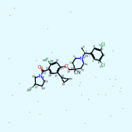 C[C@@H](c1cc(Cl)cc(Cl)c1)N1CCC(C#N)(COc2cc(F)c(C(=O)N3CCC(F)C3)cc2C2CC2)CC1